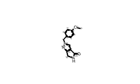 COc1ccc(Cn2cc3c(n2)CNC3=O)cc1